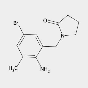 Cc1cc(Br)cc(CN2CCCC2=O)c1N